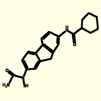 NC(=O)N(S)c1ccc2c(c1)Cc1cc(NC(=O)C3CCCCC3)ccc1-2